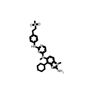 CN(c1ccnc(Nc2ccc(CCS(C)(=O)=O)cc2)n1)c1ccc2c(nc(N)n2C)c1C1CCCCC1